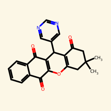 CC1(C)CC(=O)C2=C(C1)OC1=C(C(=O)c3ccccc3C1=O)C2c1cncnc1